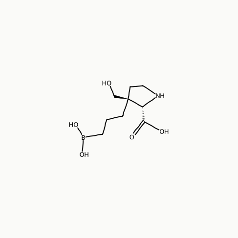 O=C(O)[C@H]1NCC[C@@]1(CO)CCCB(O)O